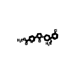 COC(=O)c1ccc(N2CCN([C@H]3CC[C@](CN)(c4cccc(Cl)c4)CC3)C2=O)cn1